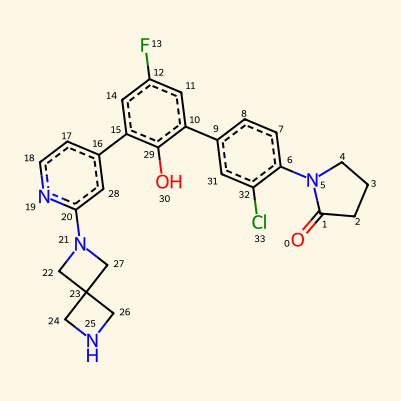 O=C1CCCN1c1ccc(-c2cc(F)cc(-c3ccnc(N4CC5(CNC5)C4)c3)c2O)cc1Cl